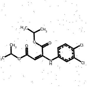 CC(C)OC(=O)C=C(Nc1ccc(Cl)c(Cl)c1)C(=O)OC(C)C